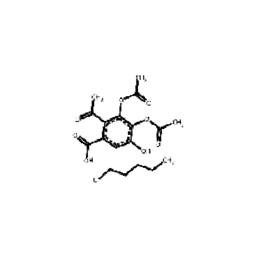 CC(=O)Oc1c(O)cc(C(=O)O)c(C(C)=O)c1OC(C)=O.CCCCCCl